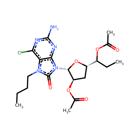 CCCCn1c(=O)n([C@@H]2O[C@H](C(CC)OC(C)=O)C[C@H]2OC(C)=O)c2nc(N)nc(Cl)c21